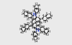 c1ccc2cc(-c3cc(N(c4ccc5c(c4)CCC5)c4ccc5ccccc5c4)c4ccc5c(-c6ccc7ccccc7c6)cc(N(c6ccc7c(c6)CCC7)c6ccc7ccccc7c6)c6ccc3c4c56)ccc2c1